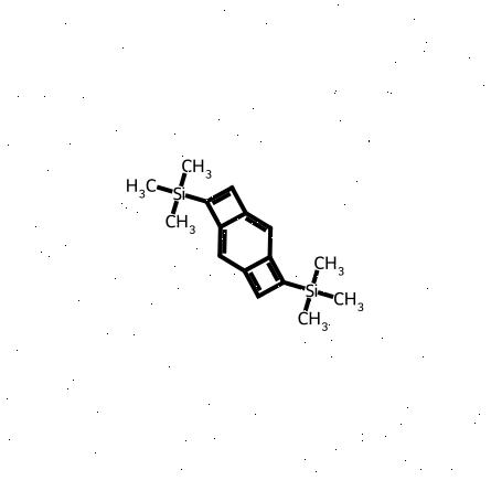 C[Si](C)(C)c1cc2cc3c([Si](C)(C)C)cc3cc12